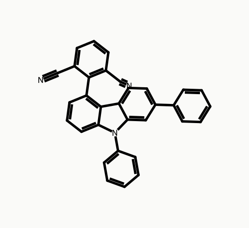 N#Cc1cccc(C#N)c1-c1cccc2c1c1ccc(-c3ccccc3)cc1n2-c1ccccc1